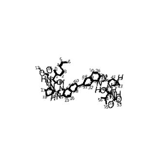 C=C(/C=C\C=C/C)[C@@H](NC(=O)OC)C(=O)N1[C@@H]2CC[C@@H](C2)[C@H]1c1nc2ccc3cc(-c4ccc5c(ccc6nc([C@@H]7C[C@H]8C[C@H]8N7C(=O)[C@@H](NC(=O)OC)C(C)C)[nH]c65)c4)ccc3c2[nH]1